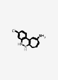 NC1=CC2=C(CC=C1)NNc1cc(Cl)ccc12